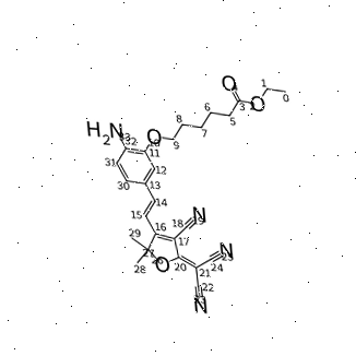 CCOC(=O)CCCCCOc1cc(/C=C/C2=C(C#N)C(=C(C#N)C#N)OC2(C)C)ccc1N